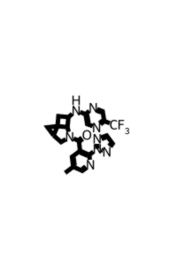 Cc1cnc(-n2nccn2)c(C(=O)N2CC3CC34CC(Nc3cnc(C(F)(F)F)cn3)C24)c1